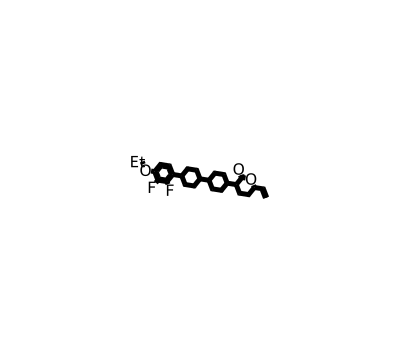 C=CC1CCC(C2CCC(C3CCC(c4ccc(OCC)c(F)c4F)CC3)CC2)C(=O)O1